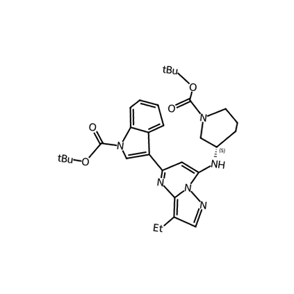 CCc1cnn2c(N[C@H]3CCCN(C(=O)OC(C)(C)C)C3)cc(-c3cn(C(=O)OC(C)(C)C)c4ccccc34)nc12